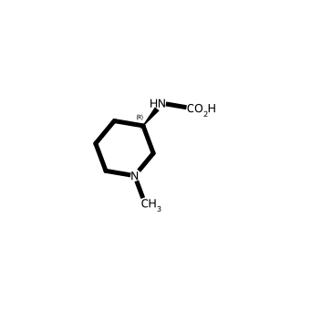 CN1CCC[C@@H](NC(=O)O)C1